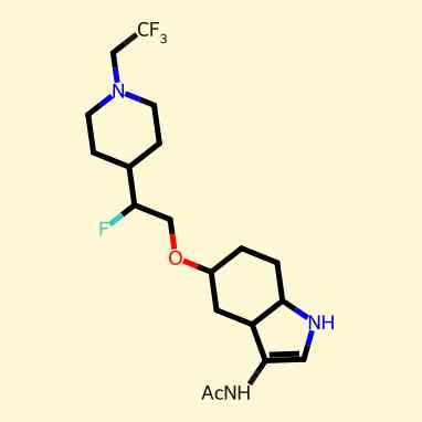 CC(=O)NC1=CNC2CCC(OCC(F)C3CCN(CC(F)(F)F)CC3)CC12